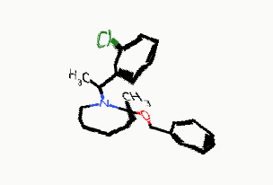 CC(c1ccccc1Cl)N1CCCCC1(C)OCc1ccccc1